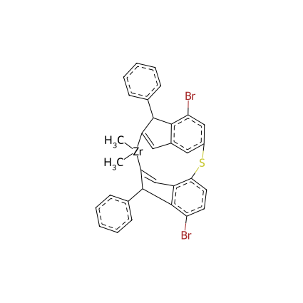 [CH3][Zr]1([CH3])[C]2=Cc3cc(cc(Br)c3C2c2ccccc2)Sc2ccc(Br)c3c2C=[C]1C3c1ccccc1